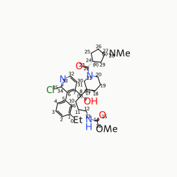 CCc1cccc(-c2c([C@](O)(CCCNC(=O)OC)[C@@H]3CCCN(C(=O)[C@@H]4CC[C@H](NC)C4)C3)ccnc2Cl)c1